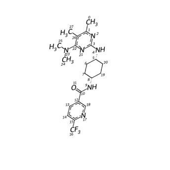 Cc1nc(N[C@H]2CC[C@@H](NC(=O)c3ccc(C(F)(F)F)nc3)CC2)nc(N(C)C)c1C